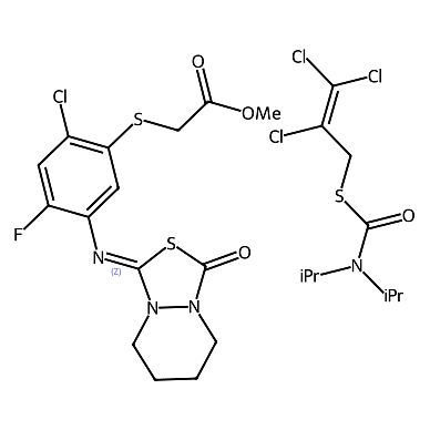 CC(C)N(C(=O)SCC(Cl)=C(Cl)Cl)C(C)C.COC(=O)CSc1cc(/N=c2\sc(=O)n3n2CCCC3)c(F)cc1Cl